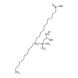 CC(O)C[N+](C)(C)C.CCCCCCCCCCCCCCCCCCCCCC(=O)O.[Cl-]